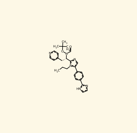 CCCn1c(-c2ccc(-c3ncc[nH]3)cc2)cnc1[C@H](Cc1ccncc1)N(C=O)OC(C)(C)C